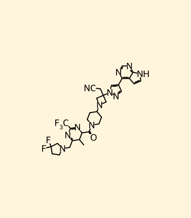 CC1C(CN2CCC(F)(F)C2)=NC(C(F)(F)F)=NC1C(=O)N1CCC(N2CC(CC#N)(n3cc(-c4ncnc5[nH]ccc45)cn3)C2)CC1